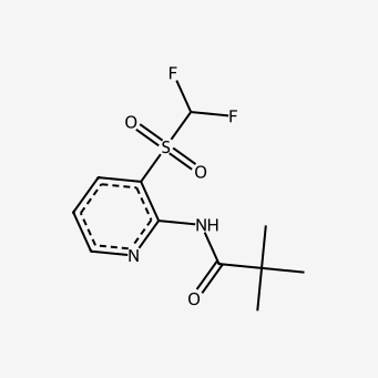 CC(C)(C)C(=O)Nc1ncccc1S(=O)(=O)C(F)F